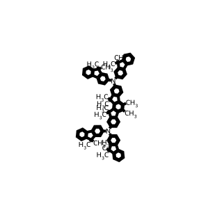 Cc1c(C)c2c(c3c1-c1ccc(N(c4ccc5c(c4)C(C)(C)c4ccccc4-5)c4ccc5c(c4)C(C)(C)c4ccccc4-5)cc1C3(C)C)C(C)(C)c1cc(N(c3ccc4c(c3)C(C)(C)c3ccccc3-4)c3ccc4c(c3)C(C)(C)c3ccccc3-4)ccc1-2